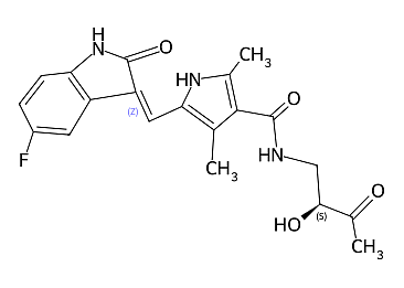 CC(=O)[C@@H](O)CNC(=O)c1c(C)[nH]c(/C=C2\C(=O)Nc3ccc(F)cc32)c1C